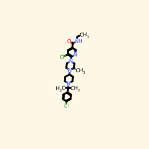 CCNC(=O)c1cnc(N2CCN(C3CCN(C(C)(C)c4ccc(Cl)cc4)CC3)[C@@H](C)C2)c(Cl)c1